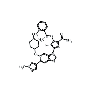 C[C@@H](Oc1c(C(N)=O)sc(-n2cnc3cc(-c4cnn(C)c4)c(OC4CCN(C)CC4)cc32)c1I)c1ccccc1Cl